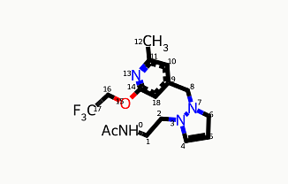 CC(=O)NCCN1C=CCN1Cc1cc(C)nc(OCC(F)(F)F)c1